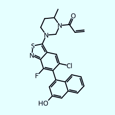 C=CC(=O)N1CN(c2snc3c(F)c(-c4cc(O)cc5ccccc45)c(Cl)cc23)CCC1C